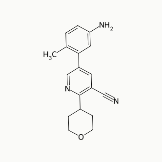 Cc1ccc(N)cc1-c1cnc(C2CCOCC2)c(C#N)c1